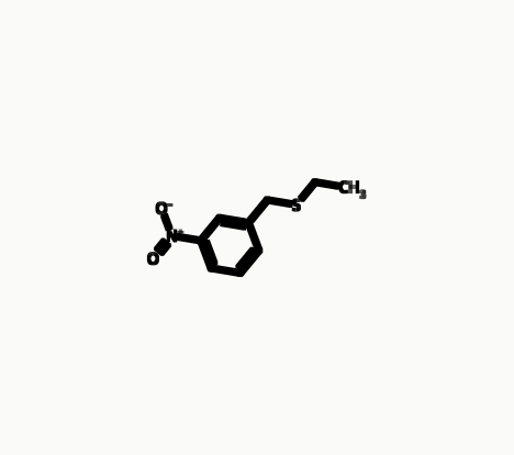 CCSCc1cccc([N+](=O)[O-])c1